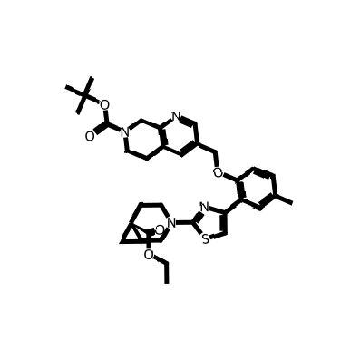 CCOC(=O)[C@@]12CCN(c3nc(-c4cc(C)ccc4OCc4cnc5c(c4)CCN(C(=O)OC(C)(C)C)C5)cs3)CC1C2